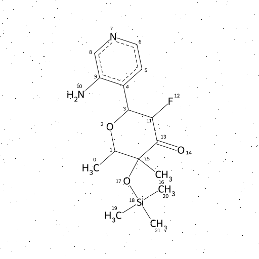 CC1OC(c2ccncc2N)C(F)C(=O)C1(C)O[Si](C)(C)C